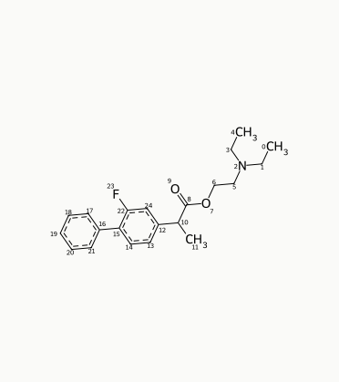 CCN(CC)CCOC(=O)C(C)c1ccc(-c2ccccc2)c(F)c1